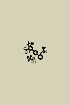 Cc1nc2c(C(=O)O)cc(-c3ccc(-c4ccccc4CNC4CC4)cc3)cc2[nH]1.O=C(O)C(F)(F)F